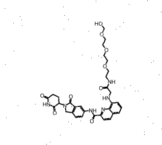 O=C(CNc1cccc2ccc(C(=O)Nc3ccc4c(c3)C(=O)N(C3CCC(=O)NC3=O)C4)nc12)NCCOCCOCCOCO